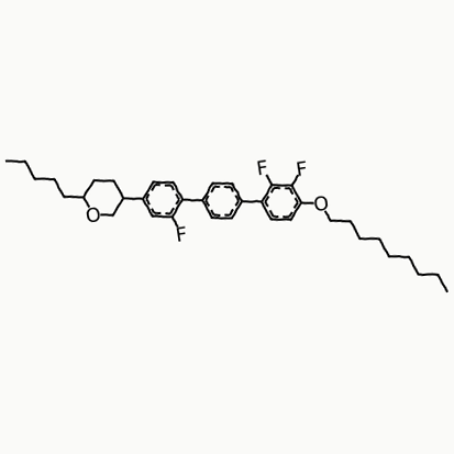 CCCCCCCCCOc1ccc(-c2ccc(-c3ccc(C4CCC(CCCCC)OC4)cc3F)cc2)c(F)c1F